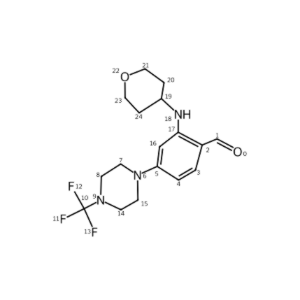 O=Cc1ccc(N2CCN(C(F)(F)F)CC2)cc1NC1CCOCC1